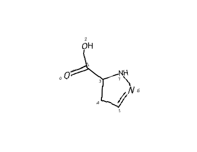 O=C(O)C1CC=NN1